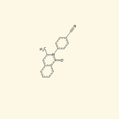 Cc1cc2ccccc2c(=O)n1-c1ccc(C#N)cc1